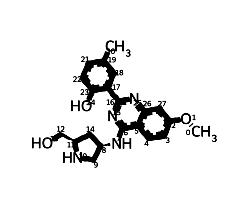 COc1ccc2c(N[C@@H]3CN[C@@H](CO)C3)nc(-c3cc(C)ccc3O)nc2c1